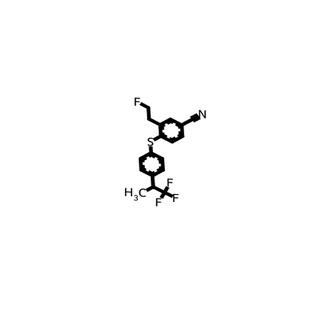 CC(c1ccc(Sc2ccc(C#N)cc2CCF)cc1)C(F)(F)F